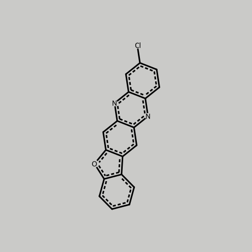 Clc1ccc2nc3cc4c(cc3nc2c1)oc1ccccc14